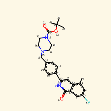 Cc1cc(F)cc2c(=O)[nH]c(-c3ccc(CN4CCN(C(=O)OC(C)(C)C)CC4)cc3)cc12